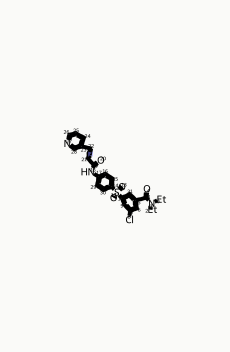 CCN(CC)C(=O)c1cc(Cl)cc(S(=O)(=O)c2ccc(NC(=O)/C=C/c3cccnc3)cc2)c1